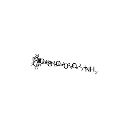 NCCCCOCCOCCOCCOCCOC12CC3CC(CC(C3)C1)C2